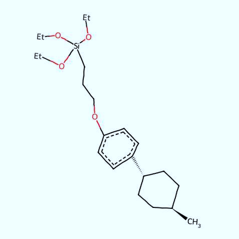 CCO[Si](CCCOc1ccc([C@H]2CC[C@H](C)CC2)cc1)(OCC)OCC